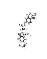 Cc1c(CNC(=O)/C=C/c2cnc3c(c2)CCC(=O)N3)oc2ccc(CN)cc12